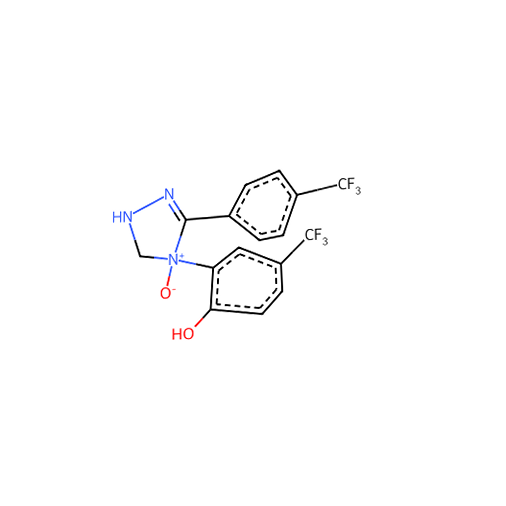 [O-][N+]1(c2cc(C(F)(F)F)ccc2O)CNN=C1c1ccc(C(F)(F)F)cc1